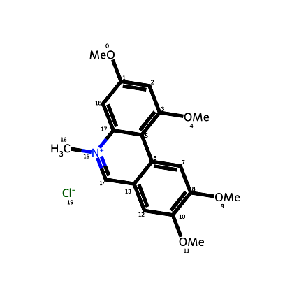 COc1cc(OC)c2c3cc(OC)c(OC)cc3c[n+](C)c2c1.[Cl-]